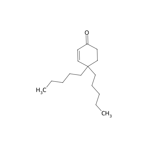 CCCCCC1(CCCCC)C=CC(=O)CC1